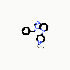 CN1CCC(N2C=CCc3ncn(Cc4ccccc4)c32)CC1